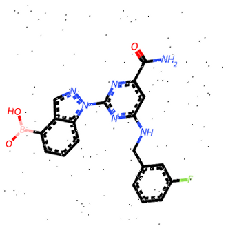 NC(=O)c1cc(NCc2cccc(F)c2)nc(-n2ncc3c(B(O)O)cccc32)n1